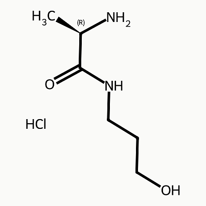 C[C@@H](N)C(=O)NCCCO.Cl